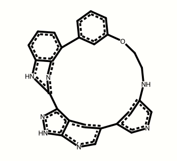 c1cc2cc(c1)-c1cccc3[nH]c(nc13)-c1n[nH]c3ncc(cc13)-c1cncc(c1)NCCO2